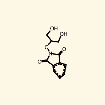 O=C1c2ccccc2C(=O)N1OC(CO)CO